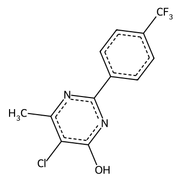 Cc1nc(-c2ccc(C(F)(F)F)cc2)nc(O)c1Cl